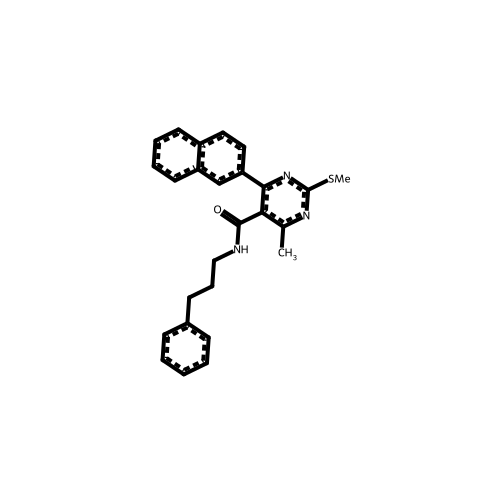 CSc1nc(C)c(C(=O)NCCCc2ccccc2)c(-c2ccc3ccccc3c2)n1